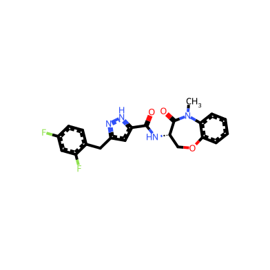 CN1C(=O)[C@@H](NC(=O)c2cc(Cc3ccc(F)cc3F)n[nH]2)COc2ccccc21